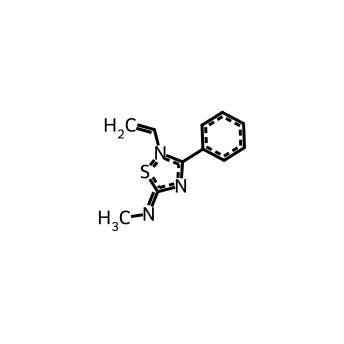 C=Cn1sc(=NC)nc1-c1ccccc1